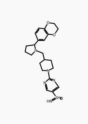 N=[SH](=O)c1cnc(N2CCC(CN3CCCC3c3ccc4c(c3)OCCO4)CC2)nc1